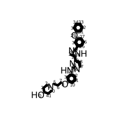 OC1CCN(CCCOc2cccc(Nc3nccc(-c4cnc(-c5cccc(Oc6ccccc6)c5)[nH]4)n3)c2)CC1